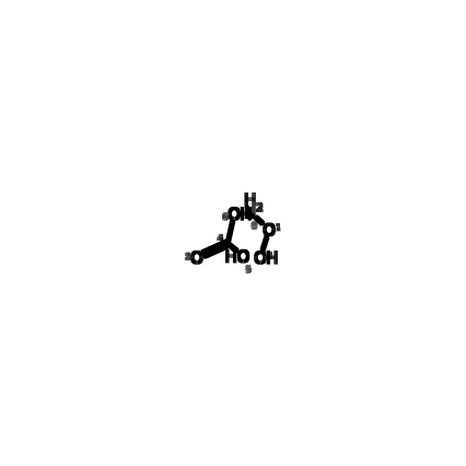 NOO.O=C(O)O